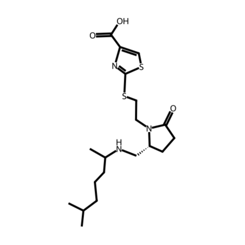 CC(C)CCCC(C)NC[C@H]1CCC(=O)N1CCSc1nc(C(=O)O)cs1